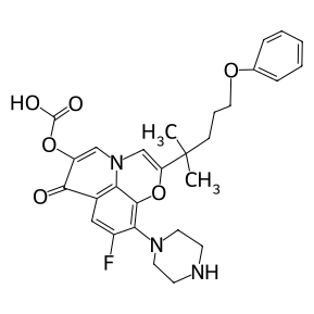 CC(C)(CCCOc1ccccc1)C1=Cn2cc(OC(=O)O)c(=O)c3cc(F)c(N4CCNCC4)c(c32)O1